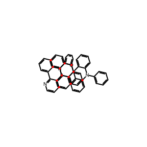 c1ccc(N2c3ccccc3C3(c4ccccc42)c2ccccc2N(c2ccccc2-c2ncccc2B2c4ccccc4Oc4ccccc42)c2ccccc23)cc1